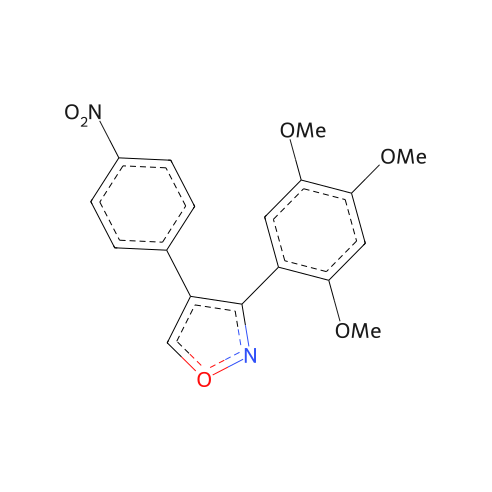 COc1cc(OC)c(-c2nocc2-c2ccc([N+](=O)[O-])cc2)cc1OC